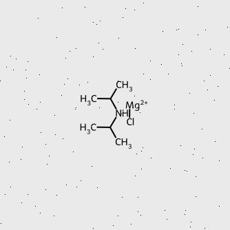 CC(C)NC(C)C.[Mg+2][Cl]